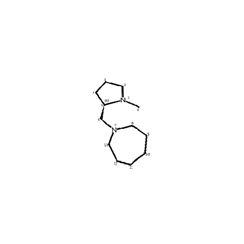 CN1CCC[C@@H]1CN1CCCCCC1